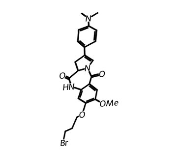 COc1cc2c(cc1OCCCBr)NC(=O)C1CC(c3ccc(N(C)C)cc3)=CN1C2=O